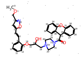 COCc1cc(C=Cc2ccccc2OCC(O)CN2CCN(C(=O)C3c4ccccc4Oc4ccccc43)CC2)on1